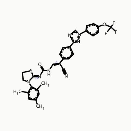 Cc1cc(C)c(N2CCS/C2=N\C(=O)N/C=C(\C#N)c2ccc(-c3ncn(-c4ccc(OC(F)(F)F)cc4)n3)cc2)c(C)c1